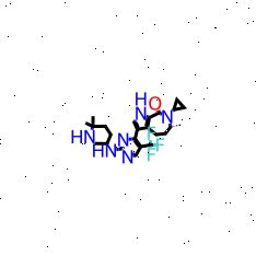 C[C@@H]1CCc2c(-c3nc(N[C@H]4CCC(C)(C)NC4)ncc3C(F)(F)F)c[nH]c2C(=O)N1C1CC1